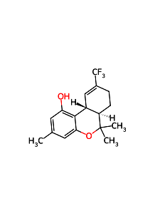 Cc1cc(O)c2c(c1)OC(C)(C)[C@@H]1CCC(C(F)(F)F)=C[C@@H]21